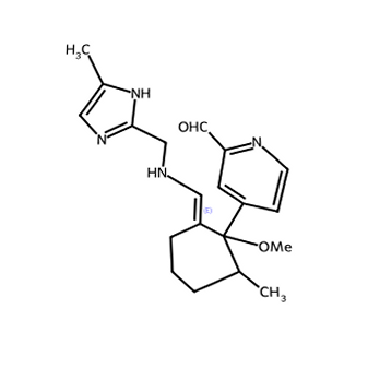 COC1(c2ccnc(C=O)c2)/C(=C/NCc2ncc(C)[nH]2)CCCC1C